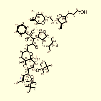 C=C1C[C@H](CCCO)O[C@H]1CC[C@H]1C[C@@H](C)C(=C)[C@@H](C[C@@H]2O[C@H](C[C@H](C)CC)[C@H](C)[C@H]2C(C(O)CC2CC[C@@H]3O[C@@H]([C@H](/C=C/I)O[Si](C)(C)C(C)(C)C)[C@@H](O[Si](C)(C)C(C)(C)C)[C@@H](C)[C@H]3O2)S(=O)(=O)c2ccccc2)O1